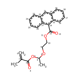 C=C(C)C(=O)OC(C)OCCOC(=O)c1c2ccccc2cc2ccccc12